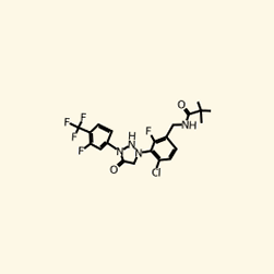 CC(C)(C)C(=O)NCc1ccc(Cl)c(N2CC(=O)N(c3ccc(C(F)(F)F)c(F)c3)N2)c1F